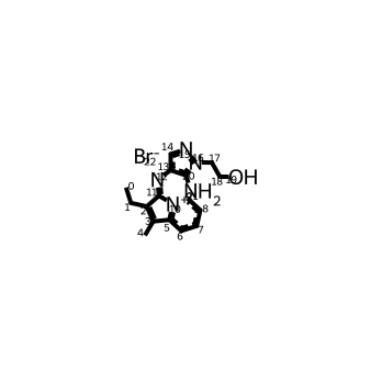 CCC1=C(C)c2cccc[n+]2C1=Nc1cnn(CCO)c1N.[Br-]